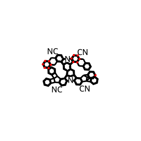 N#Cc1cc2c(c3c1C1c4ccccc4C3c3ccccc31)c1cc3c(cc4c5c6c(c(C#N)cc5n5c7cc(C#N)c8c(c7c3c45)C3c4ccccc4C34c3ccccc3C84)C34c5ccccc5C6C3c3ccccc34)c3c4c5c(c(C#N)cc4n2c13)C1c2ccccc2C5c2ccccc21